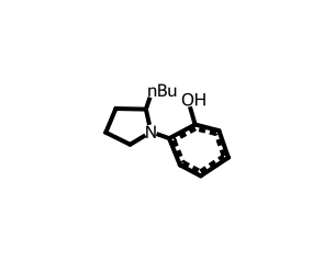 CCCCC1CCCN1c1ccccc1O